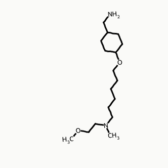 COCCN(C)CCCCCCOC1CCC(CN)CC1